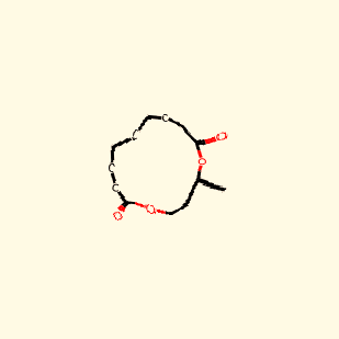 CC1CCOC(=O)CCCCCCCC(=O)O1